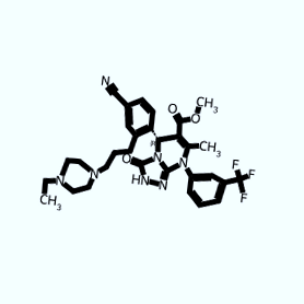 CCN1CCN(CCCc2cc(C#N)ccc2[C@@H]2C(C(=O)OC)=C(C)N(c3cccc(C(F)(F)F)c3)c3n[nH]c(=O)n32)CC1